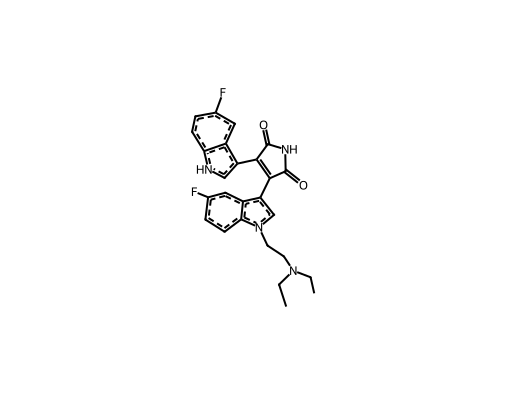 CCN(CC)CCn1cc(C2=C(c3c[nH]c4ccc(F)cc34)C(=O)NC2=O)c2cc(F)ccc21